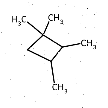 CC1CC(C)(C)C1C